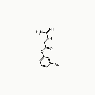 CC(=O)c1cccc(OC(=O)CNC(=N)N)c1